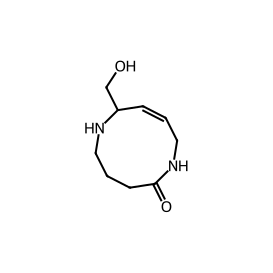 O=C1CCCNC(CO)/C=C\CN1